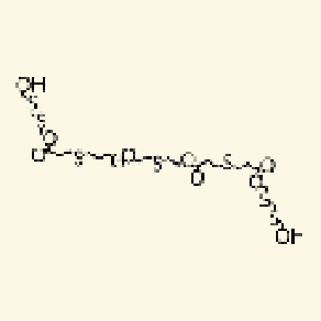 O=C(CCSCCC(=O)OCSCSCO)OCCSCCOOCCCSCCC(=O)OCSCSCO